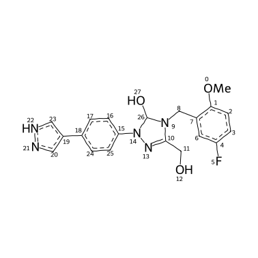 COc1ccc(F)cc1CN1C(CO)=NN(c2ccc(-c3cn[nH]c3)cc2)C1O